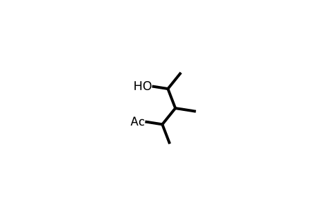 CC(=O)C(C)C(C)C(C)O